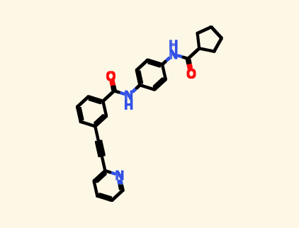 O=C(Nc1ccc(NC(=O)C2CCCC2)cc1)c1cccc(C#Cc2ccccn2)c1